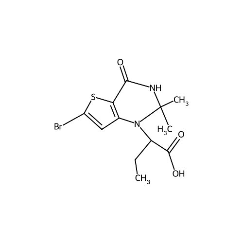 CCC(C(=O)O)N1c2cc(Br)sc2C(=O)NC1(C)C